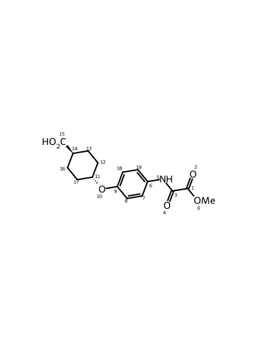 COC(=O)C(=O)Nc1ccc(O[C@H]2CC[C@H](C(=O)O)CC2)cc1